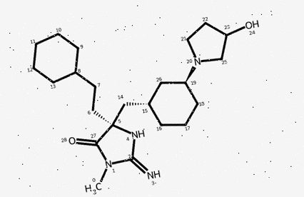 CN1C(=N)N[C@](CCC2CCCCC2)(C[C@H]2CCC[C@H](N3CCC(O)C3)C2)C1=O